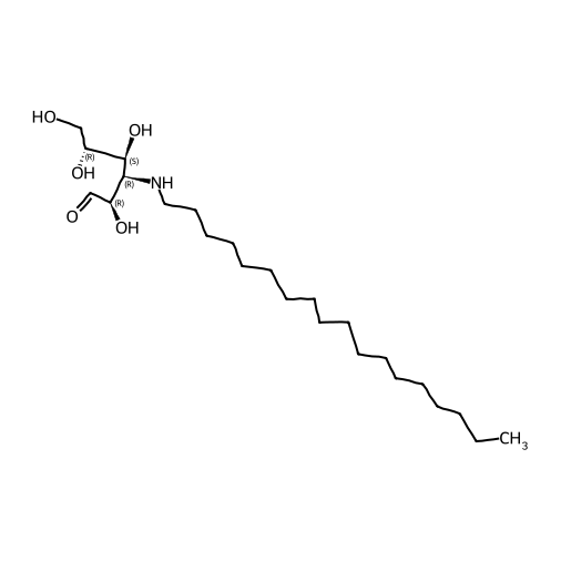 CCCCCCCCCCCCCCCCCCN[C@H]([C@H](O)[C@H](O)CO)[C@@H](O)C=O